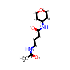 CC(=O)NCCCC(=O)NC1CCOCC1